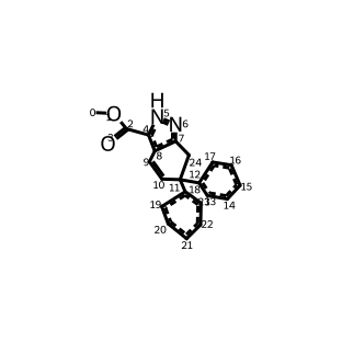 COC(=O)c1[nH]nc2c1C=CC(c1ccccc1)(c1ccccc1)C2